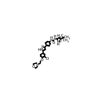 CC(C)(C)C1=CC(NC(=O)Nc2ccc(-c3cc(-c4ccc(OCCN5CCOCC5)c(Cl)c4)[nH]n3)cc2)NO1